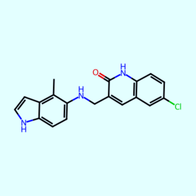 Cc1c(NCc2cc3cc(Cl)ccc3[nH]c2=O)ccc2[nH]ccc12